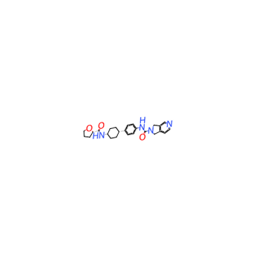 O=C(N[C@H]1CC[C@@H](c2ccc(NC(=O)N3Cc4ccncc4C3)cc2)CC1)[C@@H]1CCCO1